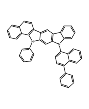 c1ccc(-c2ccc(-n3c4ccccc4c4cc5c6ccc7ccccc7c6n(-c6ccccc6)c5cc43)c3ccccc23)cc1